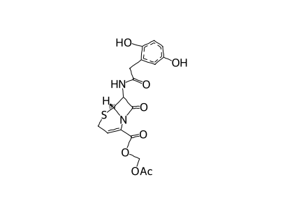 CC(=O)OCOC(=O)C1=CCS[C@@H]2C(NC(=O)Cc3cc(O)ccc3O)C(=O)N12